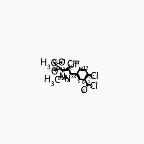 Cn1nc(-c2cc(C(=O)Cl)c(Cl)cc2F)c(Cl)c1S(C)(=O)=O